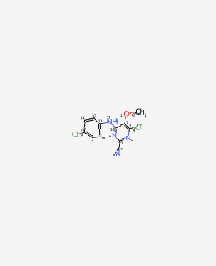 COc1c(Cl)nc(C#N)nc1Nc1ccc(Cl)cc1